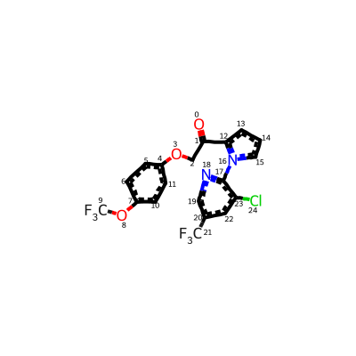 O=C(COc1ccc(OC(F)(F)F)cc1)c1cccn1-c1ncc(C(F)(F)F)cc1Cl